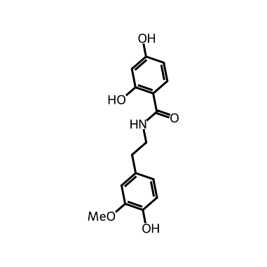 COc1cc(CCNC(=O)c2ccc(O)cc2O)ccc1O